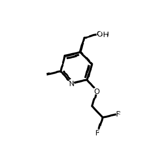 Cc1cc(CO)cc(OCC(F)F)n1